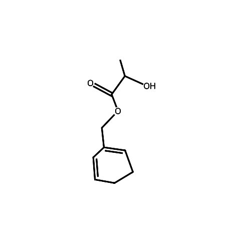 CC(O)C(=O)OCC1=CCCC=C1